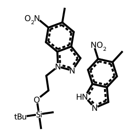 Cc1cc2cn[nH]c2cc1[N+](=O)[O-].Cc1cc2cnn(CCO[Si](C)(C)C(C)(C)C)c2cc1[N+](=O)[O-]